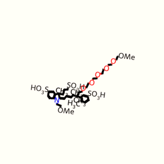 C=C(/C=C/C=C1/N(CCOC)c2ccc(S(=O)(=O)O)cc2C1(C)CCCS(=O)(=O)O)C(C)(CCOCCOCCOCCOCCOCCOC)c1cc(S(=O)(=O)O)ccc1C